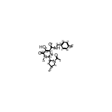 CC(=O)N1C[C@@H](F)C[C@H]1c1nc(C(=O)NCc2ccc(F)cc2)c(O)c(=O)n1C